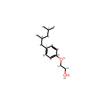 CC(C)CC(C)Cc1ccc(OCCO)cc1